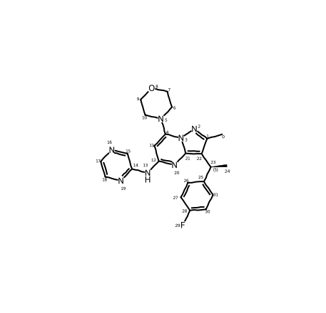 Cc1nn2c(N3CCOCC3)cc(Nc3cnccn3)nc2c1[C@@H](C)c1ccc(F)cc1